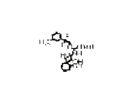 CCCCCC(NCC(O)C1(CO)C=CC=CC1O)OCC(F)(F)c1cccc(C)c1